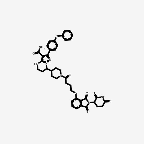 NC(=O)c1c(-c2ccc(Oc3ccccc3)cc2)nn2c1NCCC2C1CCN(C(=O)CCCSc2cccc3c2C(=O)N(C2CCC(=O)NC2=O)C3=O)CC1